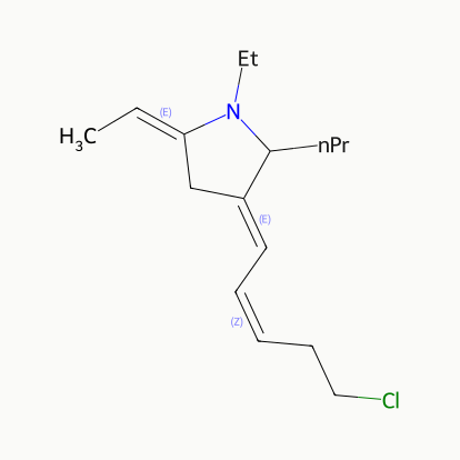 C/C=C1\C/C(=C\C=C/CCCl)C(CCC)N1CC